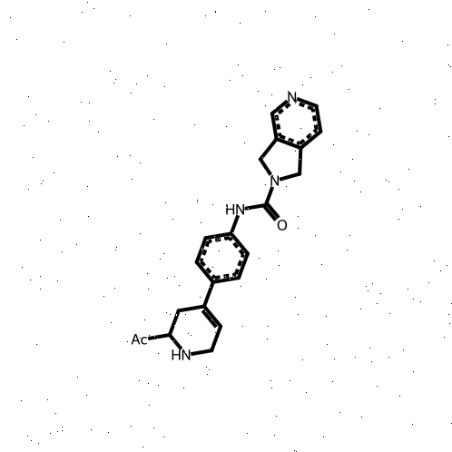 CC(=O)C1CC(c2ccc(NC(=O)N3Cc4ccncc4C3)cc2)=CCN1